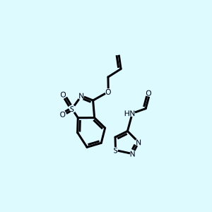 C=CCOC1=NS(=O)(=O)c2ccccc21.O=CNc1csnn1